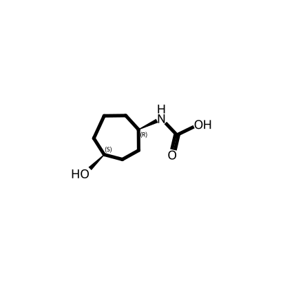 O=C(O)N[C@@H]1CCC[C@H](O)CC1